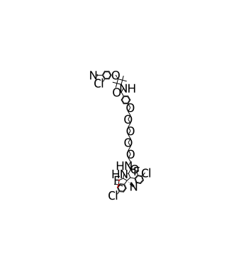 CC(C)(C)CC1NC(C(=O)NCCOCCOCCOCCOCCOc2ccc(C(=O)N[C@H]3C(C)(C)[C@H](Oc4ccc(C#N)c(Cl)c4)C3(C)C)cc2)C(c2cccc(Cl)c2F)[C@@]1(C#N)c1ccc(Cl)cc1F